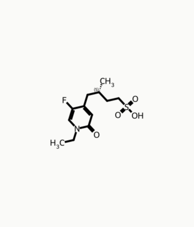 CCn1cc(F)c(C[C@H](C)CCS(=O)(=O)O)cc1=O